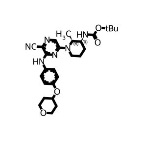 C[C@@H]1[C@H](NC(=O)OC(C)(C)C)CCCN1c1cnc(C#N)c(Nc2ccc(OC3CCOCC3)cc2)n1